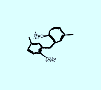 COc1ccc(C)cc1[CH]c1cc(C)ccc1OC